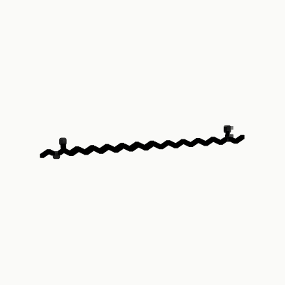 CCOC(=O)C=CC=CC=CC=CC=CC=CCCCCCCCCC[S+]([O-])CC